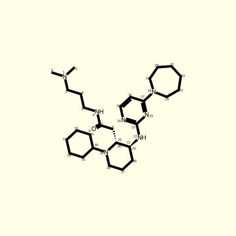 CN(C)CCCNC(=O)C[C@@H]1[C@@H](Nc2nccc(N3CCCCCC3)n2)CCCN1C1CCCCC1